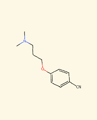 CN(C)CCCOc1ccc(C#N)cc1